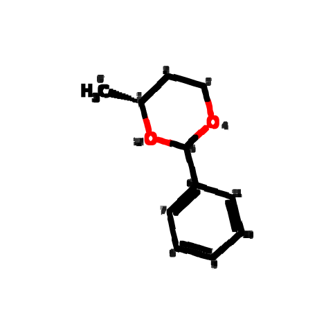 C[C@@H]1CCOC(c2ccccc2)O1